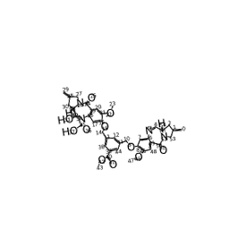 C=C1C[C@H]2C=Nc3cc(OCc4cc(COc5cc6c(cc5OC)C(=O)N5CC(=C)C[C@H]5[C@H](O)N6C(=O)O)cc(C(=O)OC)c4)c(OC)cc3C(=O)N2C1